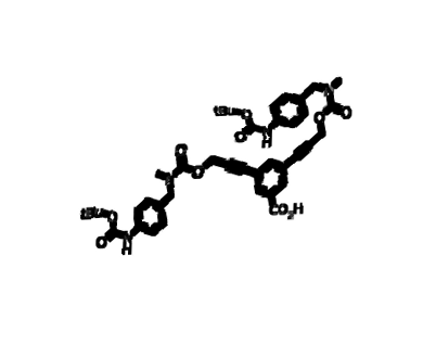 CN(Cc1ccc(NC(=O)OC(C)(C)C)cc1)C(=O)OCC#Cc1cc(C#CCOC(=O)N(C)Cc2ccc(NC(=O)OC(C)(C)C)cc2)cc(C(=O)O)c1